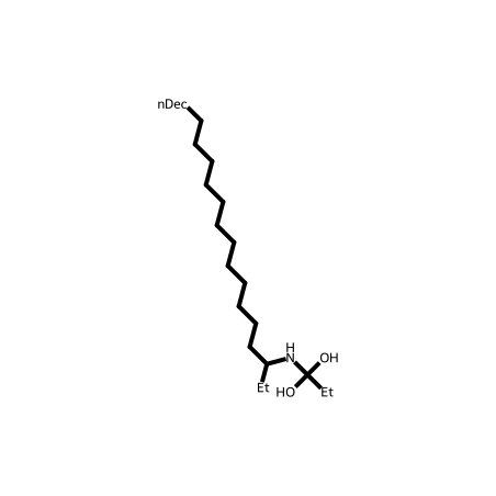 CCCCCCCCCCCCCCCCCCCCCCC(CC)NC(O)(O)CC